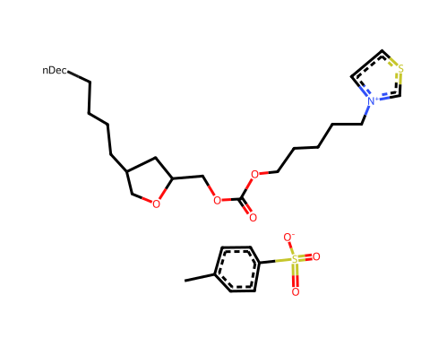 CCCCCCCCCCCCCCC1COC(COC(=O)OCCCCC[n+]2ccsc2)C1.Cc1ccc(S(=O)(=O)[O-])cc1